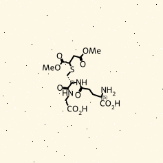 COC(=O)CC(SC[C@H](NC(=O)CC[C@H](N)C(=O)O)C(=O)NCC(=O)O)C(=O)OC